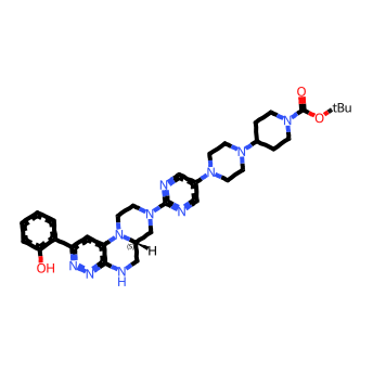 CC(C)(C)OC(=O)N1CCC(N2CCN(c3cnc(N4CCN5c6cc(-c7ccccc7O)nnc6NC[C@H]5C4)nc3)CC2)CC1